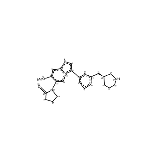 COc1cc2ncc(-c3cccc(C[C@@H]4CCCNC4)n3)n2cc1N1CCCC1=O